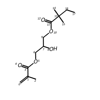 C=C(C)C(=O)OCC(O)COC(=O)C(C)(C)CC